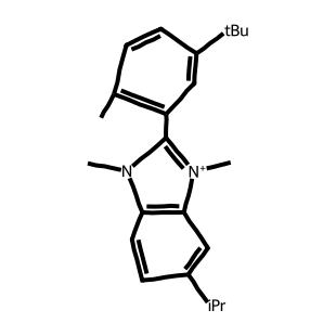 Cc1ccc(C(C)(C)C)cc1-c1n(C)c2ccc(C(C)C)cc2[n+]1C